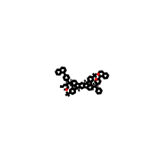 C=C/C=C(\C=C/C)N(c1ccc(-c2cccc3ccccc23)cc1)c1ccc2c3cc4c(cc3n3c5ccc(C(C)(C)C)cc5c1c23)c1ccc(N(c2ccccc2)c2ccc(-c3cccc5ccccc35)cc2)c2c3cc(C(C)(C)C)ccc3n4c12